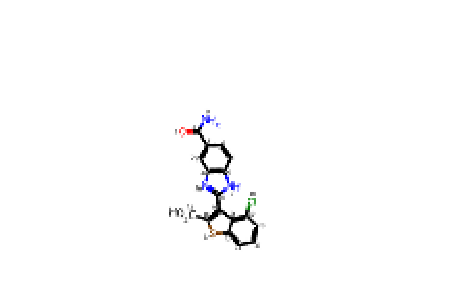 NC(=O)c1ccc2[nH]c(-c3c(C(=O)O)sc4cccc(Cl)c34)nc2c1